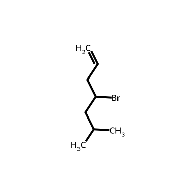 C=CCC(Br)CC(C)C